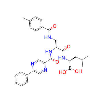 Cc1ccc(C(=O)NC[C@H](NC(=O)c2cnc(-c3ccccc3)cn2)C(=O)N[C@@H](CC(C)C)B(O)O)cc1